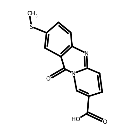 CSc1ccc2nc3ccc(C(=O)O)cn3c(=O)c2c1